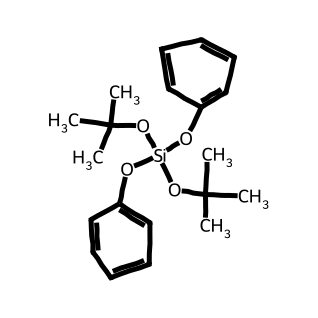 CC(C)(C)O[Si](Oc1ccccc1)(Oc1ccccc1)OC(C)(C)C